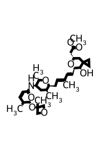 COC(=O)C[C@@H]1CC2(CC2)[C@H](O)[C@@H](/C=C/C(C)=C/C[C@@H]2O[C@H](C)[C@H](NC(=O)/C=C\C(C)COC3(C)COC3)C[C@@H]2C)O1